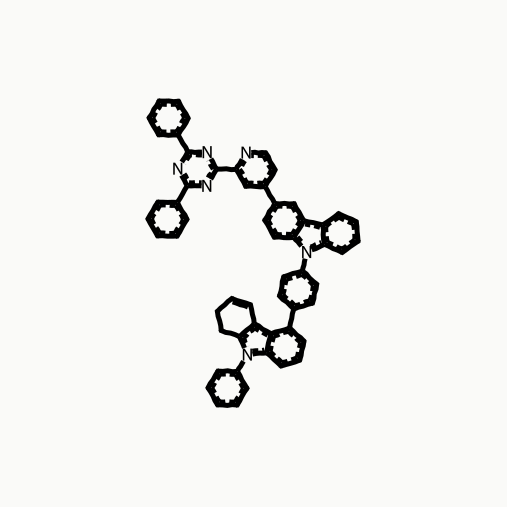 C1=Cc2c(n(-c3ccccc3)c3cccc(-c4ccc(-n5c6ccccc6c6cc(-c7ccnc(-c8nc(-c9ccccc9)nc(-c9ccccc9)n8)c7)ccc65)cc4)c23)CC1